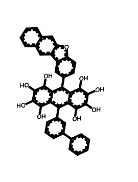 Oc1c(O)c(O)c2c(-c3ccc4oc5cc6ccccc6cc5c4c3)c3c(O)c(O)c(O)c(O)c3c(-c3cccc(-c4ccccc4)c3)c2c1O